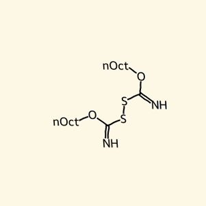 CCCCCCCCOC(=N)SSC(=N)OCCCCCCCC